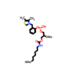 CCCCCCCCCCCCCCCCNC(=O)OCC(COP(O)Oc1ccccc1CN1CSC(C)=C1C)OC